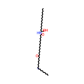 CCCCCCCC/C=C\CCCCCCCC(=O)CCCCCCCCCCCCCCC(=O)N[C@H](CO)CCCCCCCCCCCCCCCC